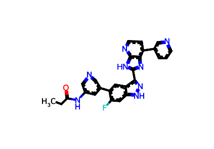 CCC(=O)Nc1cncc(-c2cc3c(-c4nc5c(-c6cccnc6)ccnc5[nH]4)n[nH]c3cc2F)c1